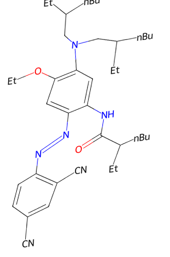 CCCCC(CC)CN(CC(CC)CCCC)c1cc(NC(=O)C(CC)CCCC)c(/N=N/c2ccc(C#N)cc2C#N)cc1OCC